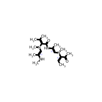 C/C=C(\C(C)=O)N(C)/C=C(\C)NC(=O)C(=C(C)C)N(C)/C=C(\C)NC